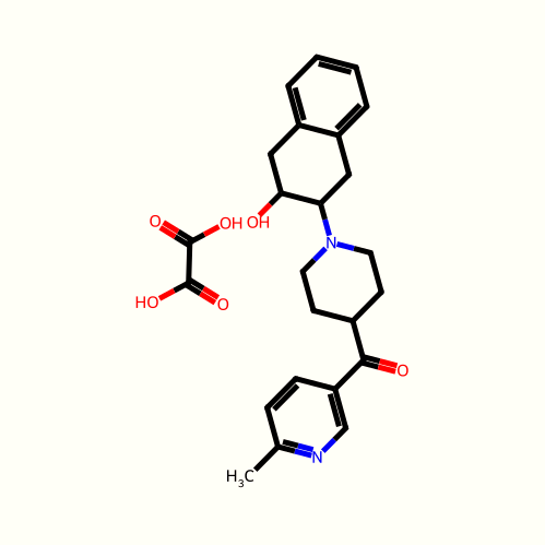 Cc1ccc(C(=O)C2CCN(C3Cc4ccccc4CC3O)CC2)cn1.O=C(O)C(=O)O